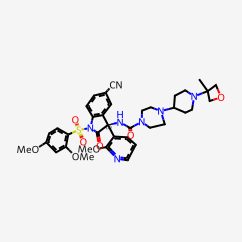 COc1ccc(S(=O)(=O)N2C(=O)[C@@](NC(=O)N3CCN(C4CCN(C5(C)COC5)CC4)CC3)(c3cccnc3OC)c3cc(C#N)ccc32)c(OC)c1